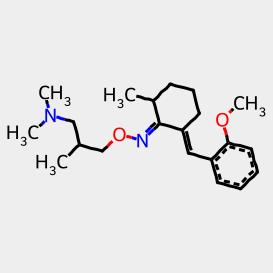 COc1ccccc1/C=C1\CCCC(C)\C1=N/OCC(C)CN(C)C